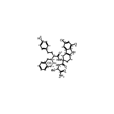 CC[C@H](C)C(NC(=O)[C@@]1(NC(=O)[C@H](CCc2ccc(O)cc2)N(Cc2ccccc2F)C(=O)O)CCc2[nH]c3c(Cl)cc(Cl)cc3c2C1)C(N)=O